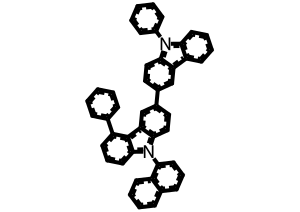 c1ccc(-c2cccc3c2c2cc(-c4ccc5c(c4)c4ccccc4n5-c4ccccc4)ccc2n3-c2cccc3ccccc23)cc1